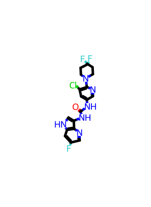 O=C(Nc1cnc(N2CCC(F)(F)CC2)c(Cl)c1)Nc1c[nH]c2cc(F)cnc12